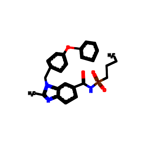 CCCCS(=O)(=O)NC(=O)c1ccc2nc(C)n(Cc3ccc(Oc4ccccc4)cc3)c2c1